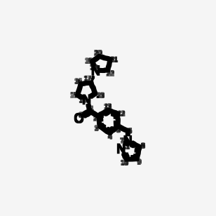 O=C(c1ccc(Cn2cccn2)cc1)N1CC[C@H](N2CCCC2)C1